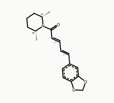 C[C@@H]1CCC[C@H](C)N1C(=O)/C=C/C=C/c1ccc2c(c1)OCO2